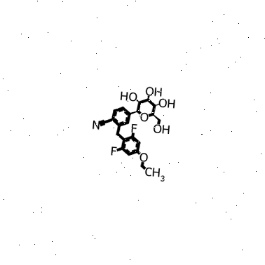 CCOc1cc(F)c(Cc2cc([C@@H]3O[C@H](CO)[C@@H](O)[C@H](O)[C@H]3O)ccc2C#N)c(F)c1